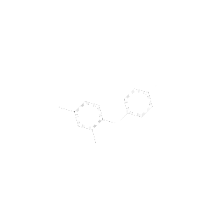 Cc1cc([N+](=O)[O-])ccc1Oc1ccc(C(=O)O)cc1